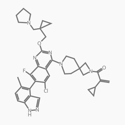 C=C(C(=O)N1CC2(CCN(c3nc(OCC4(CN5CCCC5)CC4)nc4c(F)c(-c5c(C)ccc6[nH]ncc56)c(Cl)cc34)CC2)C1)C1CC1